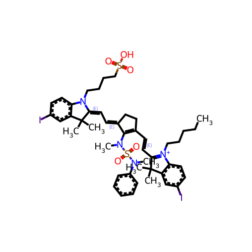 CCCCC[N+]1=C(/C=C/C2=C(N(C)S(=O)(=O)N(C)c3ccccc3)C(=C/C=C3/N(CCCCS(=O)(=O)O)c4ccc(I)cc4C3(C)C)/CC2)C(C)(C)c2cc(I)ccc21